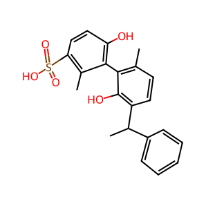 Cc1ccc(C(C)c2ccccc2)c(O)c1-c1c(O)ccc(S(=O)(=O)O)c1C